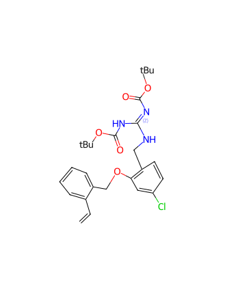 C=Cc1ccccc1COc1cc(Cl)ccc1CN/C(=N/C(=O)OC(C)(C)C)NC(=O)OC(C)(C)C